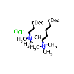 CCCCCCCCCCCCCC[N+](C)(C)C.CCCCCCCCCCCC[N+](C)(C)C.[Cl-].[Cl-]